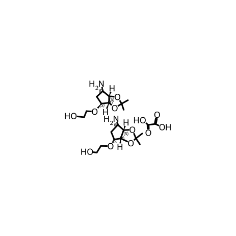 CC1(C)O[C@@H]2[C@H](O1)[C@@H](OCCO)C[C@H]2N.CC1(C)O[C@@H]2[C@H](O1)[C@@H](OCCO)C[C@H]2N.O=C(O)C(=O)O